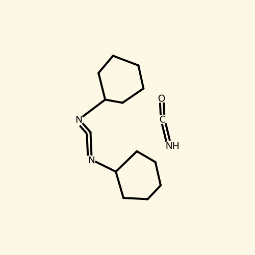 C(=NC1CCCCC1)=NC1CCCCC1.N=C=O